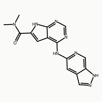 CN(C)C(=O)c1cc2c(Nc3cc4cn[nH]c4cn3)ncnc2[nH]1